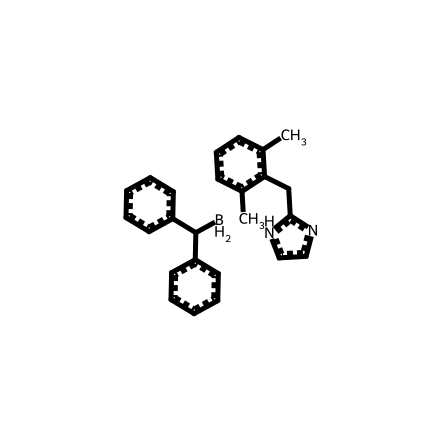 BC(c1ccccc1)c1ccccc1.Cc1cccc(C)c1Cc1ncc[nH]1